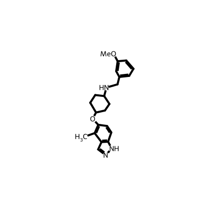 COc1cccc(CNC2CCC(Oc3ccc4[nH]ncc4c3C)CC2)c1